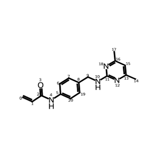 C=CC(=O)Nc1ccc(CNc2nc(C)cc(C)n2)cc1